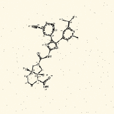 Cc1cc(-c2sc(NC(=O)N3C[C@H]4OCCN(C(=O)O)[C@H]4C3)nc2-c2cccc(C#N)c2)cc(C(F)F)n1